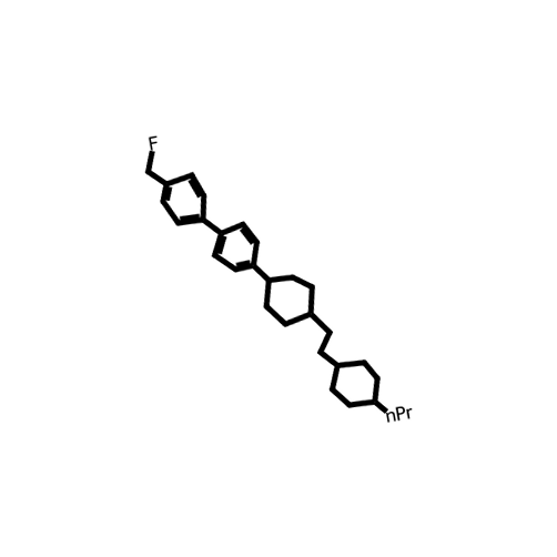 CCCC1CCC(CCC2CCC(c3ccc(-c4ccc(CF)cc4)cc3)CC2)CC1